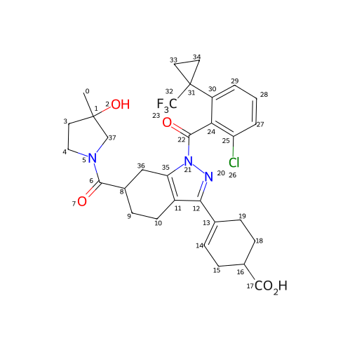 CC1(O)CCN(C(=O)C2CCc3c(C4=CCC(C(=O)O)CC4)nn(C(=O)c4c(Cl)cccc4C4(C(F)(F)F)CC4)c3C2)C1